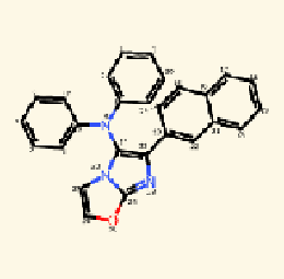 c1ccc(N(c2ccccc2)c2c(-c3ccc4ccccc4c3)nc3occn23)cc1